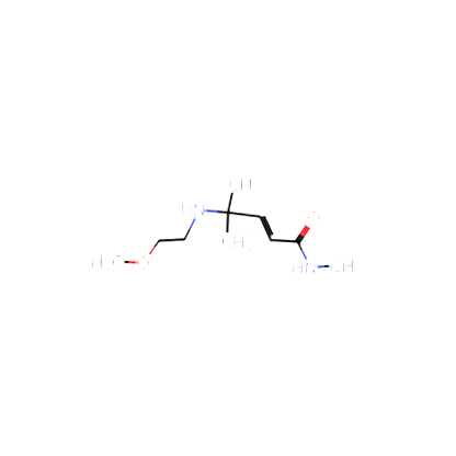 CNC(=O)/C=C/C(C)(C)NCCOC